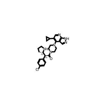 O=C([C@@H](c1ccc(Cl)cc1)[C@@H]1CCCN1)N1CCN(c2c(C3CC3)cnc3[nH]ncc23)CC1